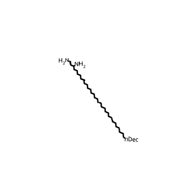 CCCCCCCCCCCCCCCCCCCCCCCCCCCCCCCCCCCCCCCC(N)CCN